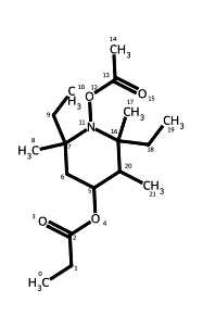 CCC(=O)OC1CC(C)(CC)N(OC(C)=O)C(C)(CC)C1C